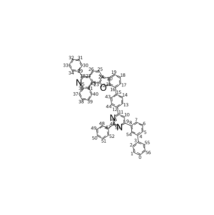 c1ccc(-c2cccc(-c3cc(-c4ccc(-c5cccc6c5oc5c6ccc6c(-c7ccccc7)nc7ccccc7c65)cc4)nc(-c4ccccc4)n3)c2)cc1